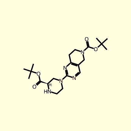 CC(C)(C)OC(=O)[C@H]1CN(c2ncc3c(n2)CCN(C(=O)OC(C)(C)C)C3)CCN1